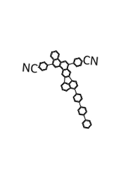 N#Cc1ccc(-c2cc3c4cc5c(cc4c(-c4ccc(C#N)cc4)cc3c3ccccc23)-c2ccc(-c3ccc(-c4ccc(-c6ccccc6)cc4)cc3)c3cccc-5c23)cc1